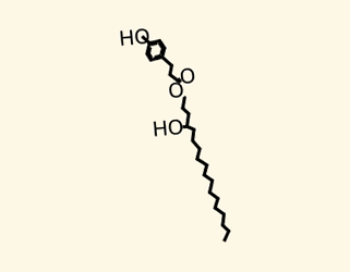 CCCCCCCCCCCCCCC(O)CCCOC(=O)CCc1ccc(O)cc1